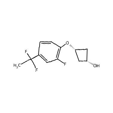 CC(F)(F)c1ccc(O[C@H]2C[C@@H](O)C2)c(F)c1